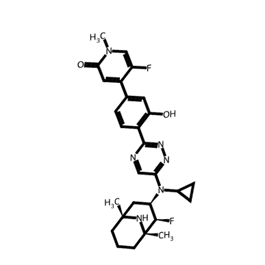 Cn1cc(F)c(-c2ccc(-c3ncc(N(C4CC4)[C@@H]4C[C@@]5(C)CCC[C@](C)(N5)[C@@H]4F)nn3)c(O)c2)cc1=O